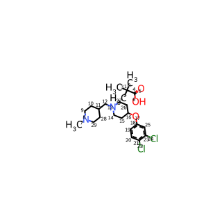 CC(C)(C)C(=O)O.CN1CCC(CN2CCC(Oc3ccc(Cl)c(Cl)c3)CC2)CC1